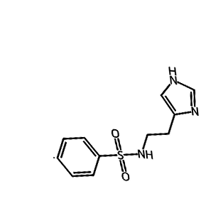 O=S(=O)(NCCc1c[nH]cn1)c1cc[c]cc1